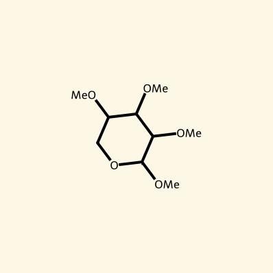 CO[C]1OCC(OC)C(OC)C1OC